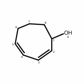 OC1C=CC=CCCC1